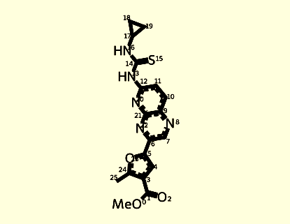 COC(=O)c1cc(-c2cnc3ccc(NC(=S)NC4CC4)nc3n2)oc1C